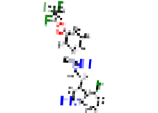 Fc1cccc2[nH]cc(CCNCc3cccc(OCC(F)(F)F)c3)c12